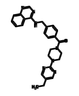 CCc1cnc(N2CCN(C(=O)c3ccc(CNc4ncnc5ccccc45)cc3)CC2)nc1